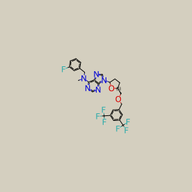 CN(Cc1cccc(F)c1)c1ncnc2c1ncn2C1CC[C@@H](COCc2cc(C(F)(F)F)cc(C(F)(F)F)c2)O1